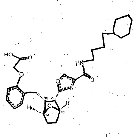 O=C(O)COc1ccccc1C[C@@H]1[C@H](c2nc(C(=O)NCCCCC3CCCCC3)co2)[C@H]2CC[C@@H]1O2